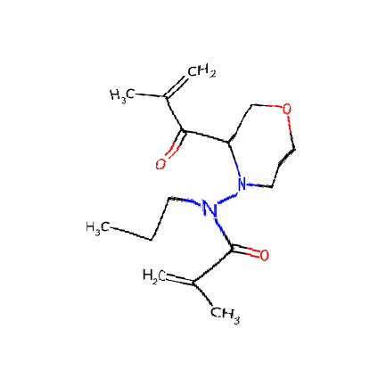 C=C(C)C(=O)C1COCCN1N(CCC)C(=O)C(=C)C